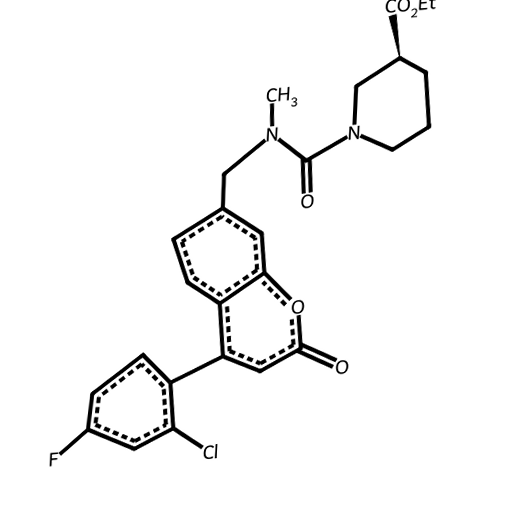 CCOC(=O)[C@H]1CCCN(C(=O)N(C)Cc2ccc3c(-c4ccc(F)cc4Cl)cc(=O)oc3c2)C1